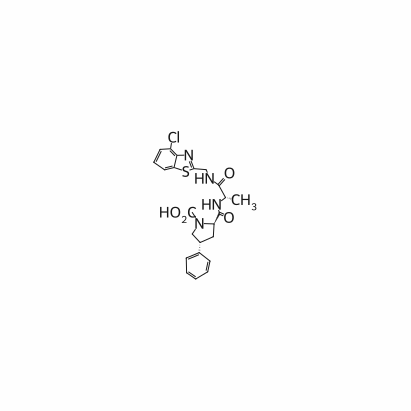 C[C@H](NC(=O)[C@H]1C[C@H](c2ccccc2)CN1C(=O)O)C(=O)NCc1nc2c(Cl)cccc2s1